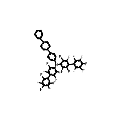 Fc1c(F)c(F)c(-c2c(F)c(F)c(N(c3ccc(-c4ccc(-c5ccccc5)cc4)cc3)c3c(F)c(F)c(-c4c(F)c(F)c(F)c(F)c4F)c(F)c3F)c(F)c2F)c(F)c1F